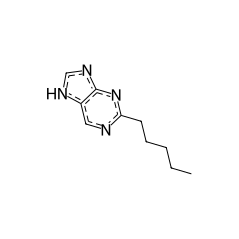 CCCCCc1ncc2[nH]cnc2n1